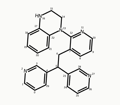 c1cncc(C(Cc2cccnc2N2CCNc3ccccc32)c2cccnc2)c1